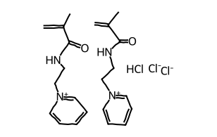 C=C(C)C(=O)NCC[n+]1ccccc1.C=C(C)C(=O)NCC[n+]1ccccc1.Cl.[Cl-].[Cl-]